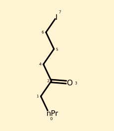 CCCCC(=O)CCCI